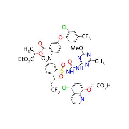 CCOC(=O)C(C)OC(=O)c1cc(Oc2ccc(C(F)(F)F)cc2Cl)ccc1[N+](=O)[O-].COc1nc(C)nc(NC(=O)NS(=O)(=O)c2ccccc2CCC(F)(F)F)n1.O=C(O)COc1ccc(Cl)c2cccnc12